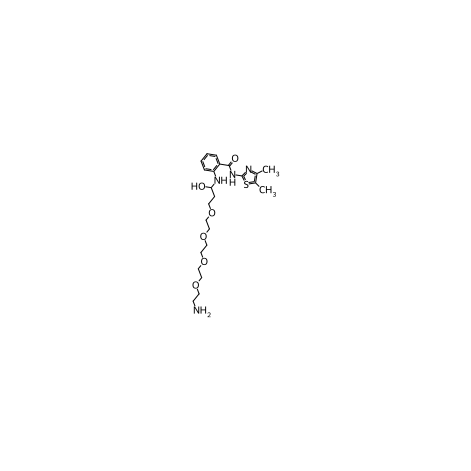 Cc1nc(NC(=O)c2ccccc2NC(O)CCOCCOCCOCCOCCN)sc1C